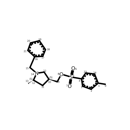 Cc1ccc(S(=O)(=O)OC[C@H]2C[C@H](C)N(Cc3ccccc3)C2)cc1